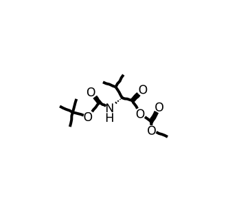 COC(=O)OC(=O)[C@H](NC(=O)OC(C)(C)C)C(C)C